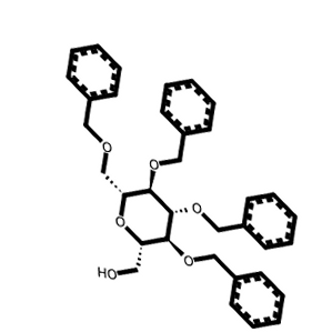 OC[C@@H]1O[C@H](COCc2ccccc2)[C@@H](OCc2ccccc2)[C@H](OCc2ccccc2)[C@H]1OCc1ccccc1